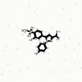 NS(=O)(=O)c1ccc(-c2cc(C(F)F)nn2-c2ccc(F)cc2)cc1F